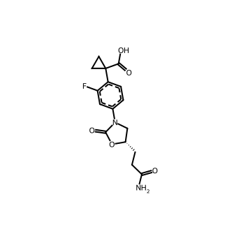 NC(=O)CC[C@H]1CN(c2ccc(C3(C(=O)O)CC3)c(F)c2)C(=O)O1